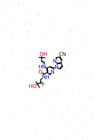 CC(C)(O)/C=C/Nc1cc(-n2ccc3cc(C#N)cnc32)ncc1C(=O)NC[C@@H](F)C(C)(C)O